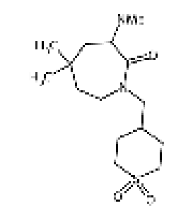 CNC1CC(C)(C)CCN(CC2CCS(=O)(=O)CC2)C1=O